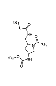 CC(C)(C)OC(=O)NCC1CC(NC(=O)OC(C)(C)C)CN1C(=O)C(F)(F)F